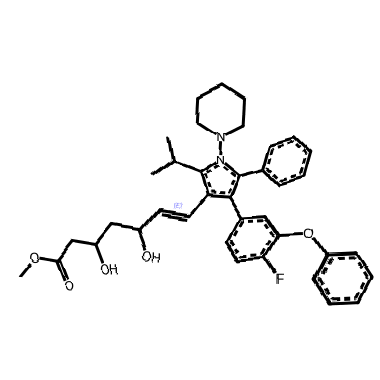 COC(=O)CC(O)CC(O)/C=C/c1c(-c2ccc(F)c(Oc3ccccc3)c2)c(-c2ccccc2)n(N2CCCCC2)c1C(C)C